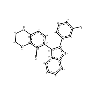 Cc1cc(-c2nc3ncccn3c2-c2ccc3c(c2F)OCCO3)ccn1